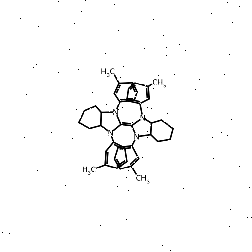 Cc1cccc(N2C(=C3N(c4cccc(C)c4)C4CCCCC4N3c3cccc(C)c3)N(c3cccc(C)c3)C3CCCCC32)c1